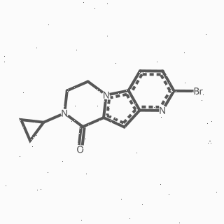 O=C1c2cc3nc(Br)ccc3n2CCN1C1CC1